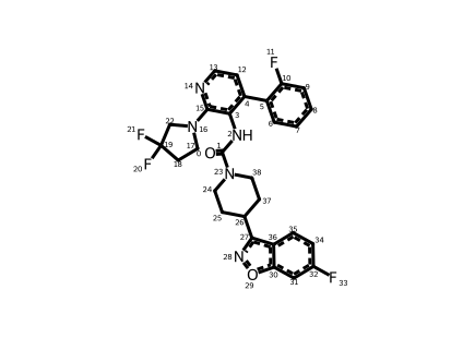 O=C(Nc1c(-c2ccccc2F)ccnc1N1CCC(F)(F)C1)N1CCC(c2noc3cc(F)ccc23)CC1